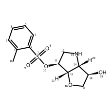 Cc1ccccc1S(=O)(=O)O[C@H]1CN[C@H]2[C@@H]1OC[C@@H]2O